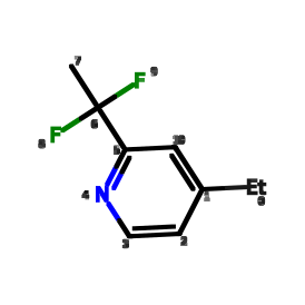 CCc1ccnc(C(C)(F)F)c1